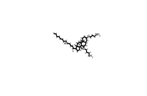 CCCCCCCCNCCC[C@@H](C)C1CC[C@H]2C3[C@H](OCCCN)CC4C[C@H](OCCCN)CCC4(C)[C@H]3CCC12C